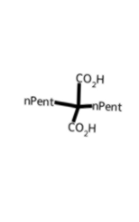 CCCCCC(CCCCC)(C(=O)O)C(=O)O